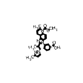 COC(=O)N1c2ccc3c(nc(C(C)Cn4ccc(C)n4)n3[C@@H]3CCC[C@@H](C(=O)O)C3)c2CCC1C